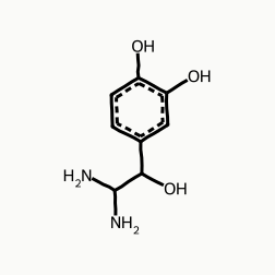 NC(N)C(O)c1ccc(O)c(O)c1